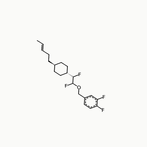 C/C=C/CC[C@H]1CC[C@H](C(F)C(F)OCc2ccc(F)c(F)c2)CC1